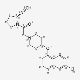 C#[N+][C@@H]1CCCN1C(=O)CN1CCC(Oc2ccnc3cc(Cl)ccc23)CC1